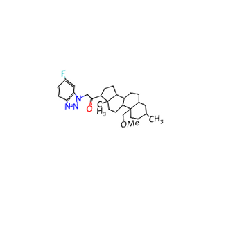 COCC12CCC(C)CC1CCC1C3CCC(C(=O)Cn4nnc5ccc(F)cc54)C3(C)CCC12